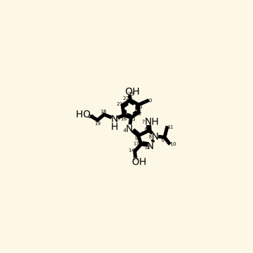 Cc1cc(N=C2C(=N)N(C(C)C)N=C2CO)c(NCCO)cc1O